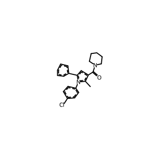 Cc1c(C(=O)N2CCCCC2)cc(-c2ccccc2)n1-c1ccc(Cl)cc1